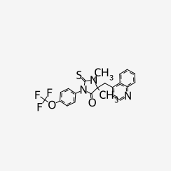 CN1C(=S)N(c2ccc(OC(F)(F)F)cc2)C(=O)C1(C)Cc1ccnc2ccccc12